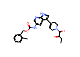 CCC(=O)C(=O)N1CC=C(c2c[nH]c3ncc(NC(=O)OCc4ccccc4C)cc23)CC1